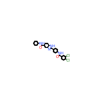 O=C(Nc1ccccc1)C1=CC2N=C(c3ccc(NC(=O)c4ccc(Cl)c(Cl)c4)cc3)NC2C=C1